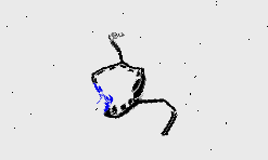 C=Cc1cncc(C(C)(C)C)c1